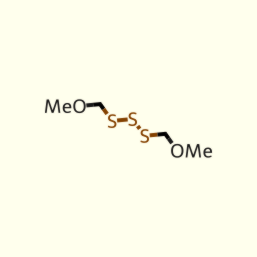 COCSSSCOC